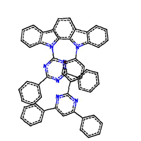 c1ccc(-c2cc(-c3ccccc3)nc(-c3ccc(-n4c5ccccc5c5ccc6c7ccccc7n(-c7nc(-c8ccccc8)nc(-c8ccccc8)n7)c6c54)cc3)n2)cc1